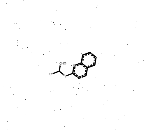 CCC([C]=O)Sc1ccc2ccccc2n1